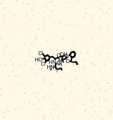 C=CCC(OC(=O)C(C)(NC(=O)C(Cc1cc(Cl)c(O)c(Cl)c1)NC(=O)[C@@H](NC)[C@@H](C)CC)C(C)(C)O)c1ccccc1